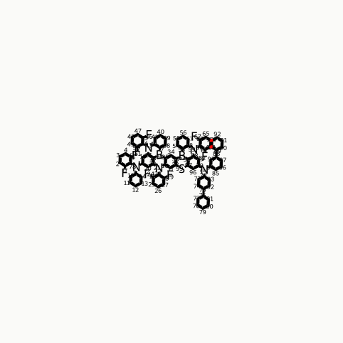 Fc1cccc(F)c1N(c1ccccc1)c1cc2c3c(c1)N(c1c(F)cccc1F)c1cc4c(cc1B3c1ccccc1N2c1c(F)cccc1F)B1c2ccccc2N(c2c(F)cccc2F)c2cc(N(c3ccc(-c5ccccc5)cc3)c3cccc(-c5ccccc5)c3)cc(c21)S4